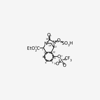 CCOC(=O)C1c2cccc(OS(=O)(=O)C(F)(F)F)c2C2CN1C(=O)N2OS(=O)(=O)O